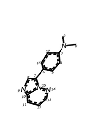 CN(C)c1ccc(-c2cnc3cc[c]nn23)cc1